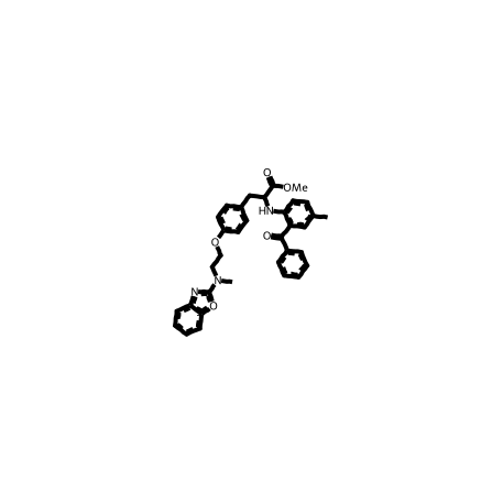 COC(=O)C(Cc1ccc(OCCN(C)c2nc3ccccc3o2)cc1)Nc1ccc(C)cc1C(=O)c1ccccc1